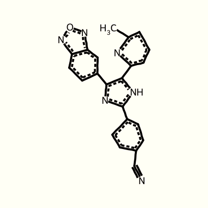 Cc1cccc(-c2[nH]c(-c3ccc(C#N)cc3)nc2-c2ccc3nonc3c2)n1